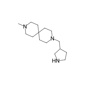 CN1CCC2(CC1)CCN(CC1CCNC1)CC2